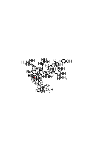 CC[C@H](C)[C@H](NC(=O)[C@H](CCCNC(=N)N)NC(=O)[C@H](CCCNC(=N)N)NC(=O)[C@@H](NC(=O)[C@@H](NC(=O)[C@H](CCCNC(=N)N)NC(=O)[C@H](C)NC(=O)CNC(=O)[C@H](Cc1ccc(O)cc1)NC(=O)[C@@H]1CCCN1)C(C)C)[C@@H](C)CC)C(=O)N[C@@H](CC(C)C)C(=O)N[C@@H](CCC(=O)O)C(=O)N[C@@H](Cc1c[nH]cn1)C(=O)N[C@@H](CS)C(=O)O